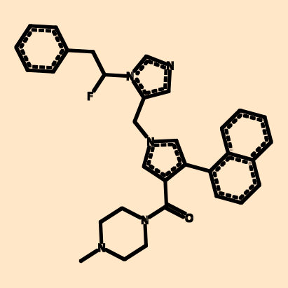 CN1CCN(C(=O)c2cn(Cc3cncn3C(F)Cc3ccccc3)cc2-c2cccc3ccccc23)CC1